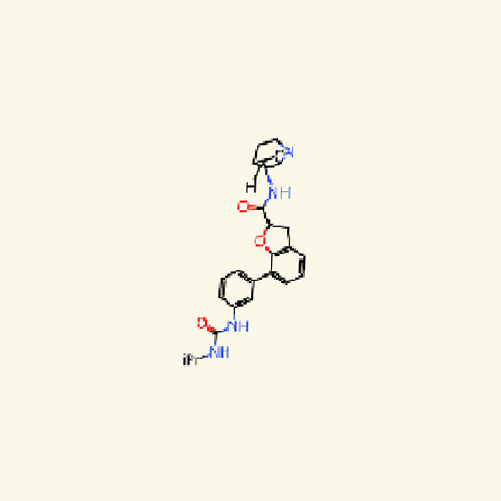 CC(C)NC(=O)Nc1cccc(-c2cccc3c2OC(C(=O)N[C@H]2CN4CCC2CC4)C3)c1